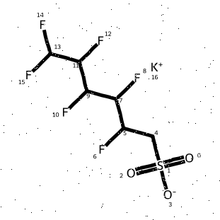 O=S(=O)([O-])CC(F)C(F)C(F)C(F)C(F)F.[K+]